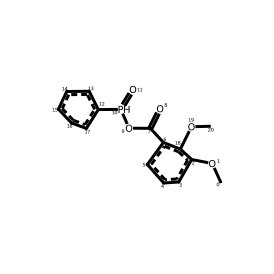 COc1cccc(C(=O)O[PH](=O)c2ccccc2)c1OC